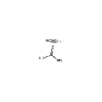 C#C.NC(N)=O